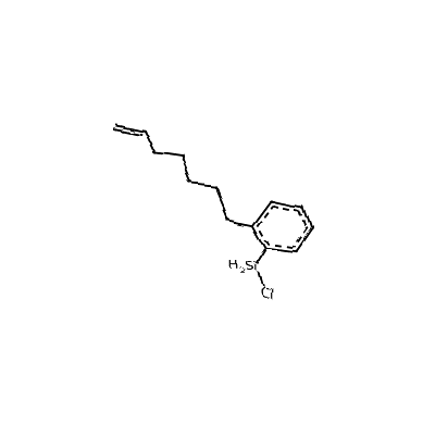 C=CCCCCCc1ccccc1[SiH2]Cl